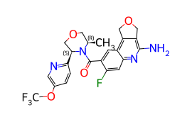 C[C@@H]1COC[C@H](c2ccc(OC(F)(F)F)cn2)N1C(=O)c1cc2c3c(c(N)nc2cc1F)COC3